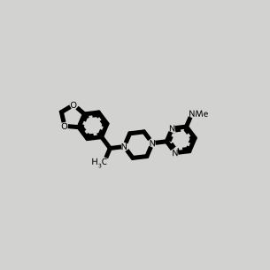 CNc1ccnc(N2CCN(C(C)c3ccc4c(c3)OCO4)CC2)n1